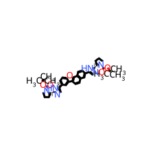 CC(C)(C)OC(=O)N1CCC[C@H]1c1ncc(-c2ccc3c(ccc4c5cc(-c6cnc([C@@H]7CCCN7C(=O)OC(C)(C)C)[nH]6)ccc5oc34)c2)[nH]1